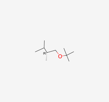 CC(C)[C@@H](C)COC(C)(C)C